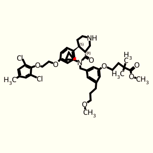 COCCCc1cc(CN(C(=O)[C@H]2CNCC[C@@H]2c2ccc(OCCOc3c(Cl)cc(C)cc3Cl)cc2)C2CC2)cc(OCCC(C)(C)C(=O)OC)c1